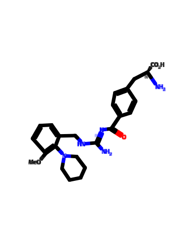 COc1cccc(CN/C(N)=N/C(=O)c2ccc(C[C@H](N)C(=O)O)cc2)c1N1CCCCC1